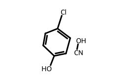 N#CO.Oc1ccc(Cl)cc1